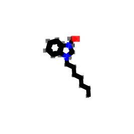 CCCCCCCN1CN(O)c2ccccc21